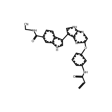 C=CC(=O)Nc1cccc(Oc2cnc3[nH]cc(-c4c[nH]c5cc(C(=O)NCC#N)ccc45)c3n2)c1